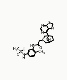 Cc1ccc(NS(C)(=O)=O)cc1NC(=O)CN1CC2CCC(c3ncnc4scnc34)(C1)N2